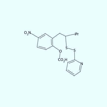 CC(C)C(Cc1cc([N+](=O)[O-])ccc1OC(=O)O)SSc1ccccn1